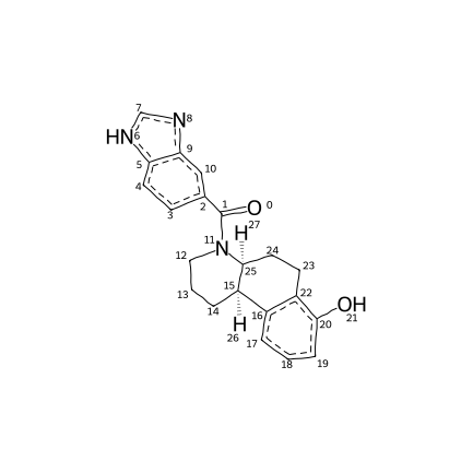 O=C(c1ccc2[nH]cnc2c1)N1CCC[C@@H]2c3cccc(O)c3CC[C@@H]21